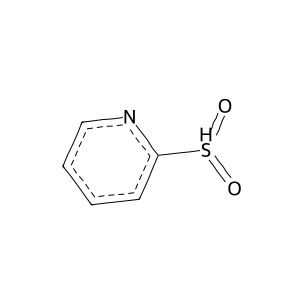 O=[SH](=O)c1ccccn1